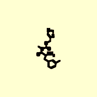 Cc1cccc(CC(N)C(=O)N(C)C(=O)OCc2cncs2)c1